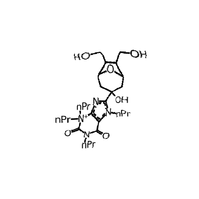 CCCN1C(=O)c2c(nc(C3(O)CC4OC(C3)C(CO)C4CO)n2CCC)[N+](CCC)(CCC)C1=O